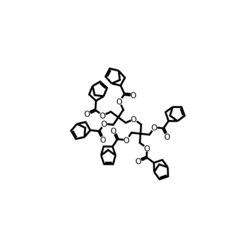 O=C(OCC(COCC(COC(=O)C1CC2C=CC1C2)(COC(=O)C1CC2C=CC1C2)COC(=O)C1CC2C=CC1C2)(COC(=O)C1CC2C=CC1C2)COC(=O)C1CC2C=CC1C2)C1CC2C=CC1C2